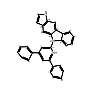 c1ccc(-c2cc(-c3ccccc3)nc(-n3c4ccccc4c4cc5occc5cc43)c2)cc1